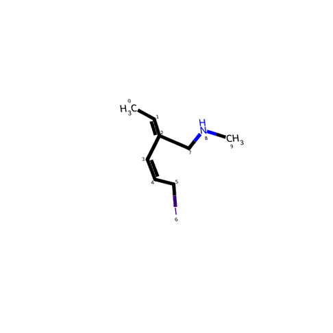 C/C=C(\C=C/CI)CNC